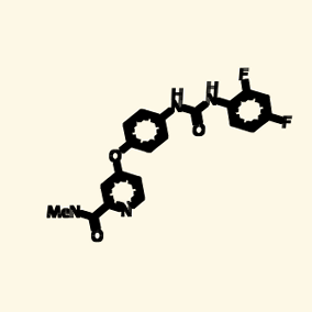 CNC(=O)c1cc(Oc2ccc(NC(=O)Nc3ccc(F)cc3F)cc2)ccn1